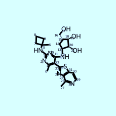 Cc1nc(NC2(C)CCC2)nc(NC2C[C@H](CO)[C@@H](O)[C@H]2O)c1-c1nc2c(C)nccc2s1